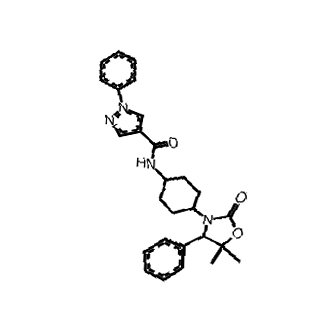 CC1(C)OC(=O)N(C2CCC(NC(=O)c3cnn(-c4ccccc4)c3)CC2)C1c1ccccc1